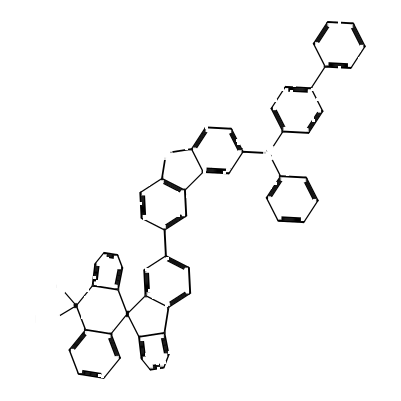 CC1(C)c2ccccc2C2(c3ccccc3-c3ccc(-c4ccc5oc6ccc(N(c7ccccc7)c7ccc(-c8ccccc8)cc7)cc6c5c4)cc32)c2ccccc21